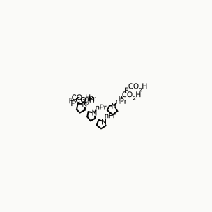 CCCN1CCCC1.CCCN1CCCC1.CCCN1CCCC1.CCCN1CCCC1.O=C(O)F.O=C(O)F.O=C(O)F.O=C(O)F